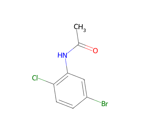 CC(=O)Nc1cc(Br)ccc1Cl